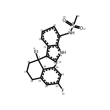 CCC1(c2c[nH]c3c(NS(C)(=O)=O)cccc23)CCCc2cc(F)cc(F)c21